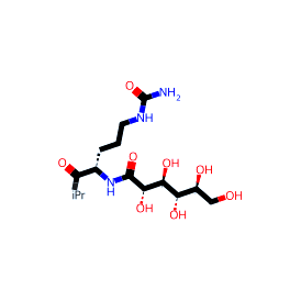 CC(C)C(=O)[C@H](CCCNC(N)=O)NC(=O)[C@@H](O)[C@@H](O)[C@@H](O)[C@@H](O)CO